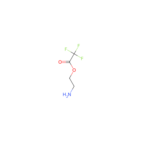 NCCOC(=O)C(F)(F)F